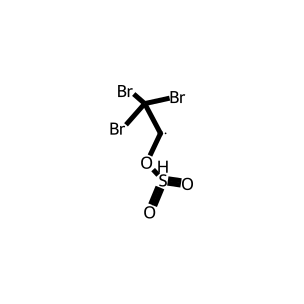 O=[SH](=O)O[CH]C(Br)(Br)Br